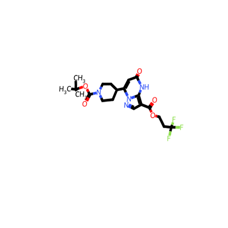 CC(C)(C)OC(=O)N1CCC(c2cc(=O)[nH]c3c(C(=O)OCCC(F)(F)F)cnn23)CC1